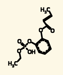 CC=CC(=O)Oc1ccccc1OP(=O)(O)OCC